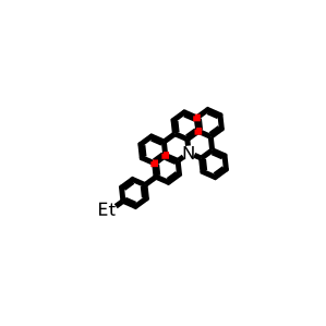 CCc1ccc(-c2ccc(N(c3ccccc3-c3ccccc3)c3ccccc3-c3ccccc3)cc2)cc1